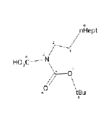 CCCCCCCCCN(C(=O)O)C(=O)OC(C)(C)C